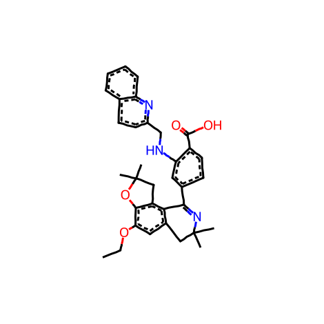 CCOc1cc2c(c3c1OC(C)(C)C3)C(c1ccc(C(=O)O)c(NCc3ccc4ccccc4n3)c1)=NC(C)(C)C2